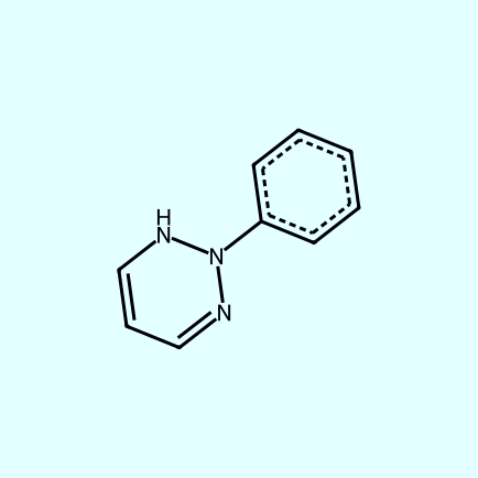 C1=CNN(c2ccccc2)N=C1